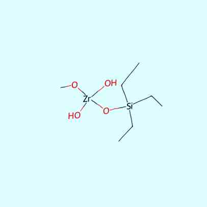 CC[Si](CC)(CC)[O][Zr]([OH])([OH])[O]C